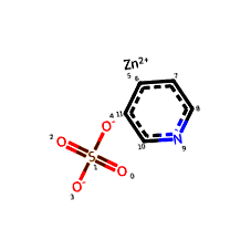 O=S(=O)([O-])[O-].[Zn+2].c1ccncc1